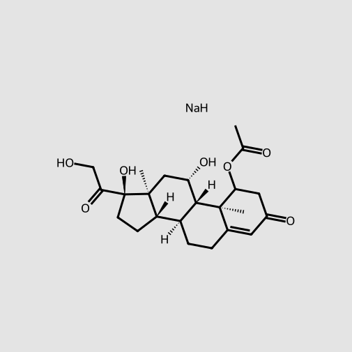 CC(=O)OC1CC(=O)C=C2CC[C@@H]3[C@H]([C@@H](O)C[C@@]4(C)[C@H]3CC[C@]4(O)C(=O)CO)[C@]21C.[NaH]